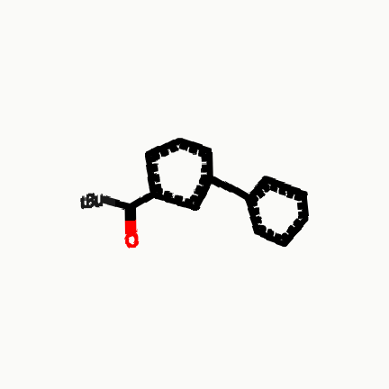 CC(C)(C)C(=O)c1cccc(-c2ccccc2)c1